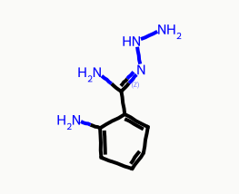 NN/N=C(\N)c1ccccc1N